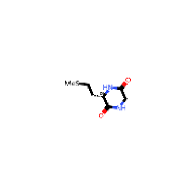 CSCC[C@@H]1NC(=O)CNC1=O